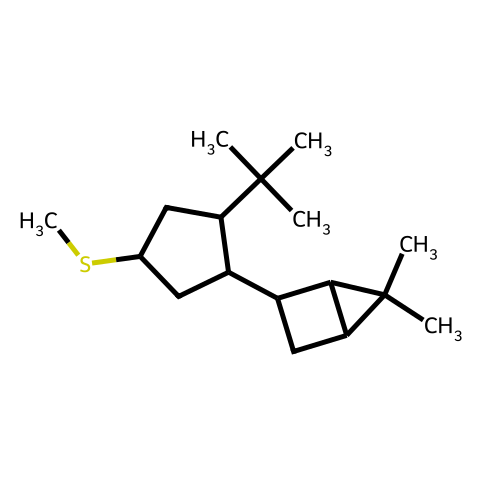 CSC1CC(C2CC3C2C3(C)C)C(C(C)(C)C)C1